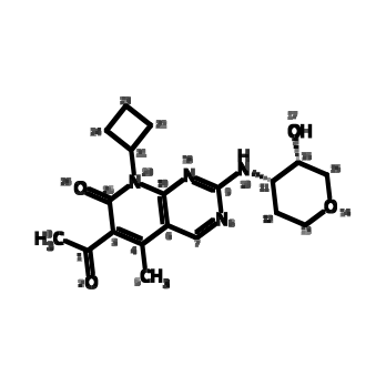 CC(=O)c1c(C)c2cnc(N[C@H]3CCOC[C@H]3O)nc2n(C2CCC2)c1=O